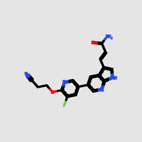 N#CCCOc1ncc(-c2cnc3[nH]cc(C=CC(N)=O)c3c2)cc1F